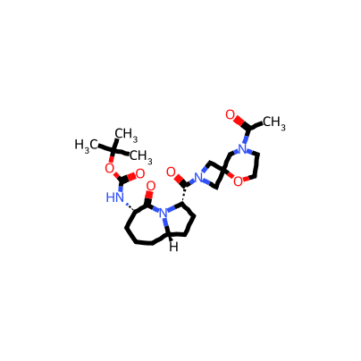 CC(=O)N1CCOC2(C1)CN(C(=O)[C@@H]1CC[C@@H]3CCC[C@H](NC(=O)OC(C)(C)C)C(=O)N31)C2